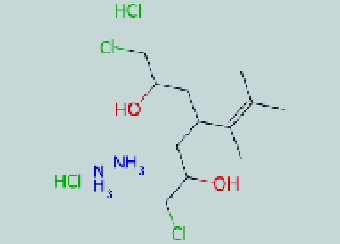 CC(C)=C(C)C(CC(O)CCl)CC(O)CCl.Cl.Cl.N.N